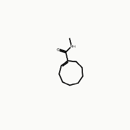 CNC(=O)C1=CCCCCCCC1